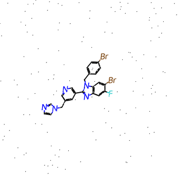 Fc1cc2nc(-c3cncc(Cn4ccnc4)c3)n(Cc3ccc(Br)cc3)c2cc1Br